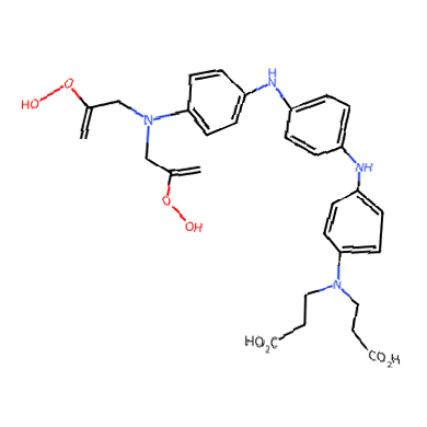 C=C(CN(CC(=C)OO)c1ccc(Nc2ccc(Nc3ccc(N(CCC(=O)O)CCC(=O)O)cc3)cc2)cc1)OO